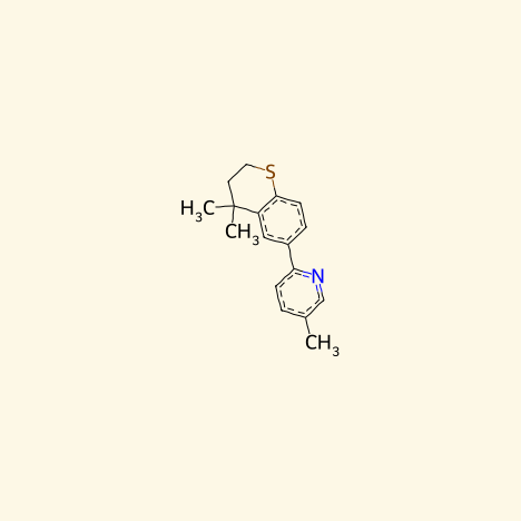 Cc1ccc(-c2ccc3c(c2)C(C)(C)CCS3)nc1